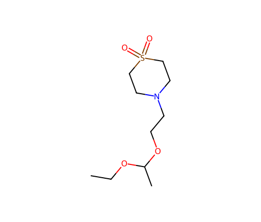 CCOC(C)OCCN1CCS(=O)(=O)CC1